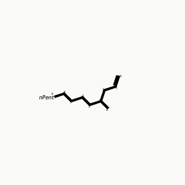 C=CCC(C)CCCCCCCCC